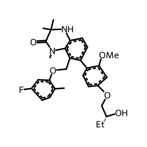 CC[C@@H](O)COc1ccc(-c2ccc3c(c2COc2cc(F)ccc2C)N(C)C(=O)C(C)(C)N3)c(OC)c1